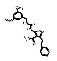 COc1cc(CNC(=O)Nc2snc(CCc3cccnc3)c2C(N)=O)cc(OC)c1